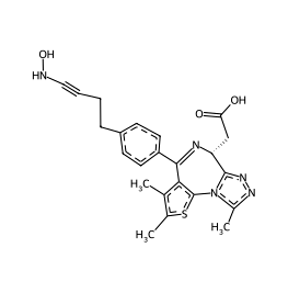 Cc1sc2c(c1C)C(c1ccc(CCC#CNO)cc1)=N[C@H](CC(=O)O)c1nnc(C)n1-2